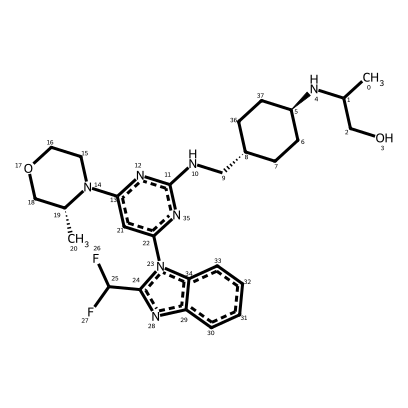 CC(CO)N[C@H]1CC[C@H](CNc2nc(N3CCOC[C@H]3C)cc(-n3c(C(F)F)nc4ccccc43)n2)CC1